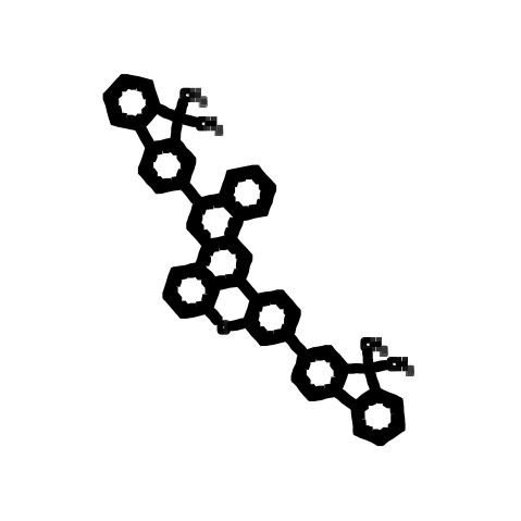 CC1(C)c2ccccc2-c2ccc(-c3ccc4c(c3)Oc3cccc5c3c-4cc3c4ccccc4c(-c4ccc6c(c4)C(C)(C)c4ccccc4-6)cc53)cc21